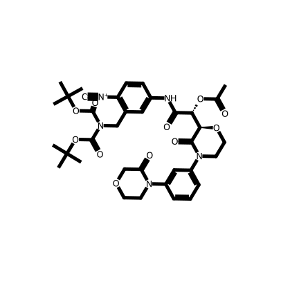 [C-]#[N+]c1ccc(NC(=O)[C@H](OC(C)=O)[C@H]2OCCN(c3cccc(N4CCOCC4=O)c3)C2=O)cc1CN(C(=O)OC(C)(C)C)C(=O)OC(C)(C)C